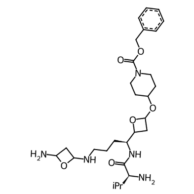 CC(C)[C@H](N)C(=O)N[C@@H](CCCNC1CC(N)O1)C1CC(OC2CCN(C(=O)OCc3ccccc3)CC2)O1